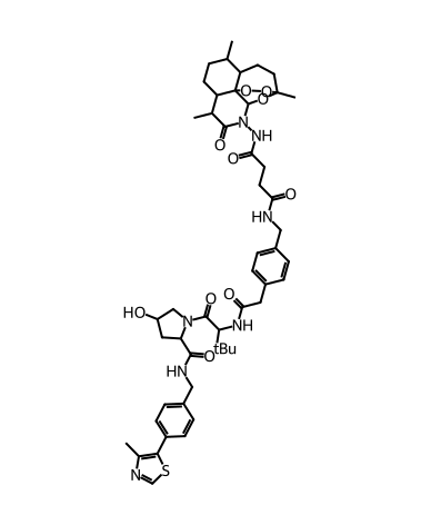 Cc1ncsc1-c1ccc(CNC(=O)C2CC(O)CN2C(=O)C(NC(=O)Cc2ccc(CNC(=O)CCC(=O)NN3C(=O)C(C)C4CCC(C)C5CCC6(C)OOC54C3O6)cc2)C(C)(C)C)cc1